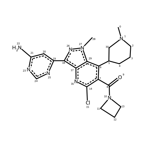 CN1CCCC(c2c(C(=O)N3CCC3)c(Cl)nc3c(-c4cc(N)ncn4)nn(C)c23)C1